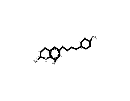 CC1CCC(CCCCc2cc(F)c3c(c2)CCC(C)O3)CC1